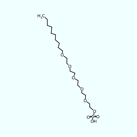 CCCCCCCCCCOCCOCCOCCOCCOCCOS(=O)(=O)O